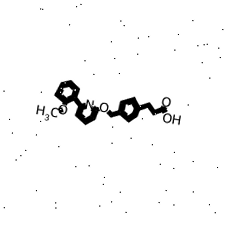 COc1ccccc1-c1cccc(OCc2ccc(CCC(=O)O)cc2)n1